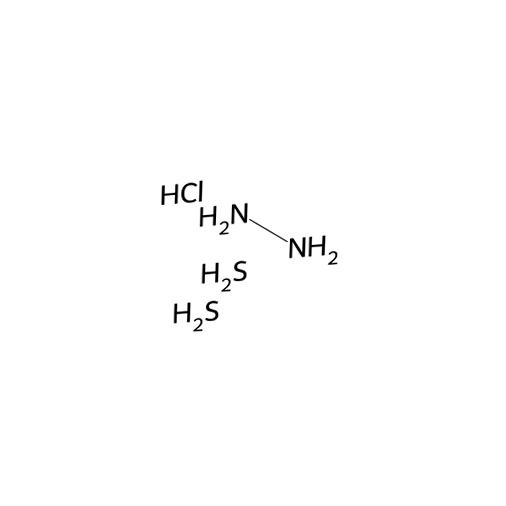 Cl.NN.S.S